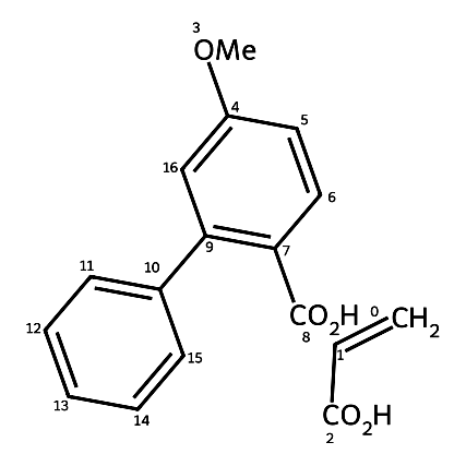 C=CC(=O)O.COc1ccc(C(=O)O)c(-c2ccccc2)c1